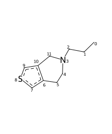 CCCN1CCc2cscc2C1